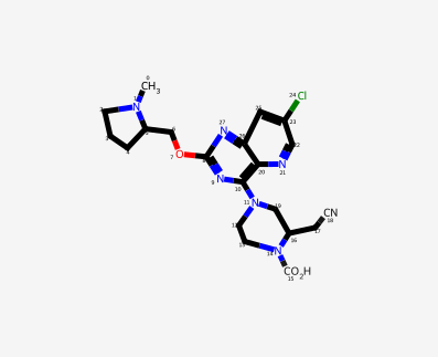 CN1CCCC1COc1nc(N2CCN(C(=O)O)C(CC#N)C2)c2ncc(Cl)cc2n1